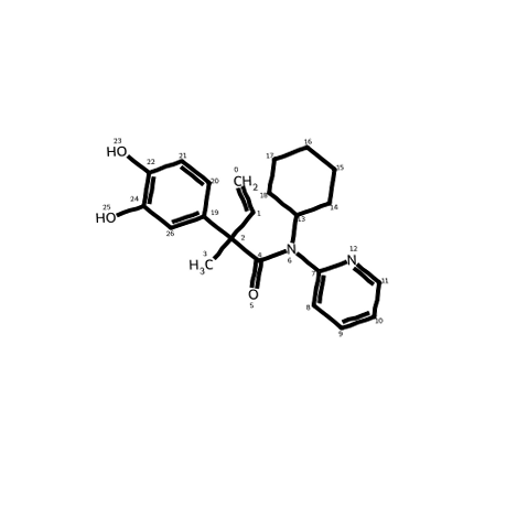 C=CC(C)(C(=O)N(c1ccccn1)C1CCCCC1)c1ccc(O)c(O)c1